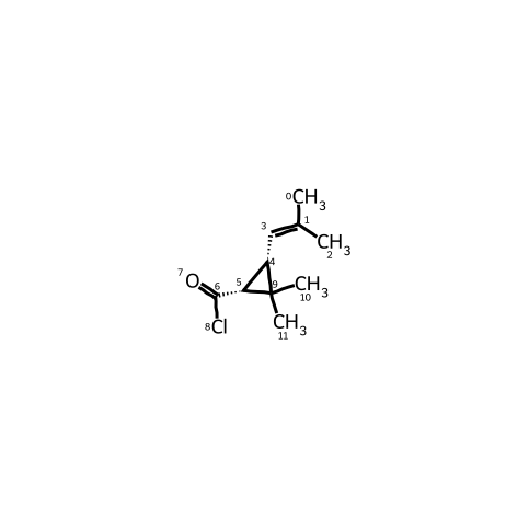 CC(C)=C[C@H]1[C@@H](C(=O)Cl)C1(C)C